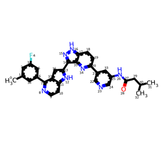 Cc1cc(F)cc(-c2nccc3[nH]c(-c4n[nH]c5ccc(-c6cncc(NC(=O)CC(C)C)c6)nc45)cc23)c1